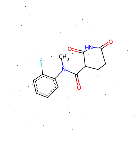 CN(C(=O)C1CCC(=O)NC1=O)c1ccccc1F